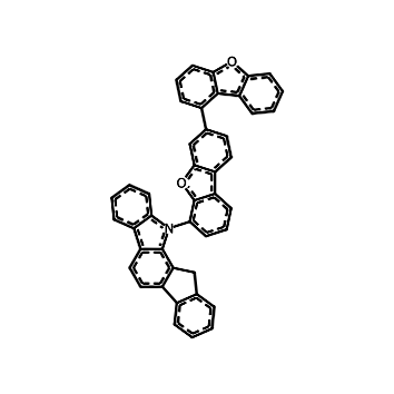 c1ccc2c(c1)Cc1c-2ccc2c3ccccc3n(-c3cccc4c3oc3cc(-c5cccc6oc7ccccc7c56)ccc34)c12